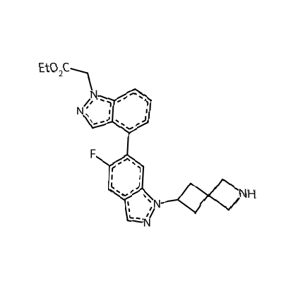 CCOC(=O)Cn1ncc2c(-c3cc4c(cnn4C4CC5(CNC5)C4)cc3F)cccc21